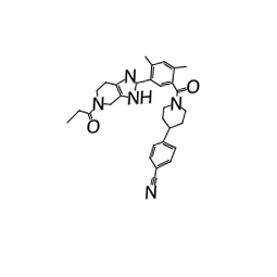 CCC(=O)N1CCc2nc(-c3cc(C(=O)N4CCC(c5ccc(C#N)cc5)CC4)c(C)cc3C)[nH]c2C1